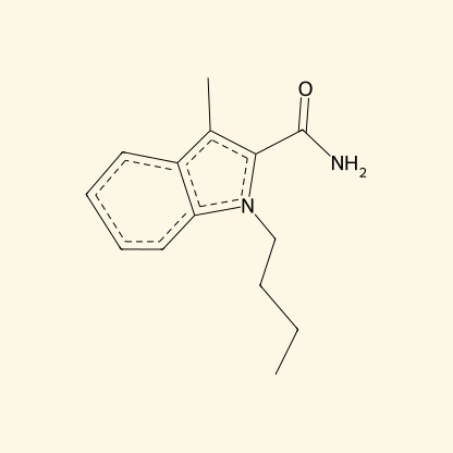 CCCCn1c(C(N)=O)c(C)c2ccccc21